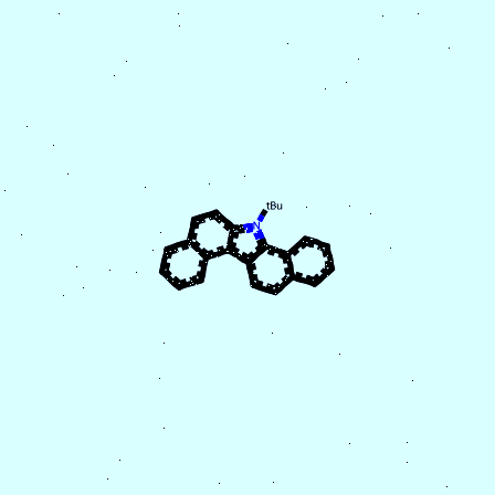 CC(C)(C)n1c2ccc3ccccc3c2c2ccc3ccccc3c21